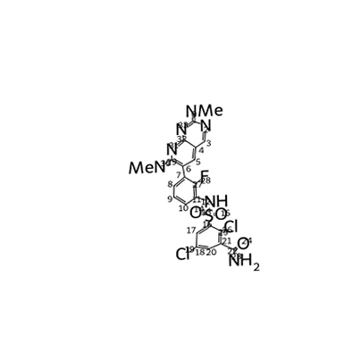 CNc1ncc2cc(-c3cccc(NS(=O)(=O)c4cc(Cl)cc(C(N)=O)c4Cl)c3F)c(NC)nc2n1